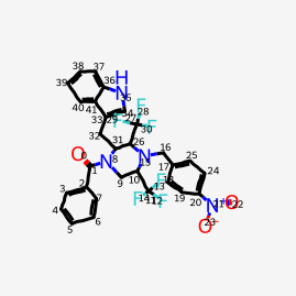 O=C(c1ccccc1)N1CC(C(F)(F)F)N(Cc2ccc([N+](=O)[O-])cc2)C(C(F)(F)F)C1Cc1c[nH]c2ccccc12